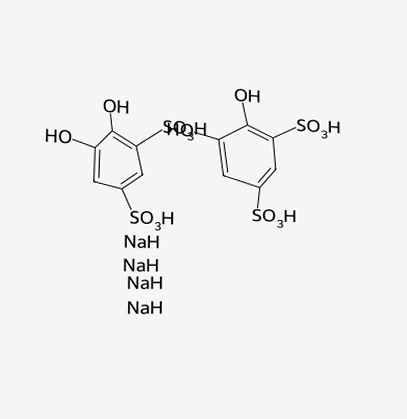 O=S(=O)(O)c1cc(O)c(O)c(S(=O)(=O)O)c1.O=S(=O)(O)c1cc(O)c(O)c(S(=O)(=O)O)c1.[NaH].[NaH].[NaH].[NaH]